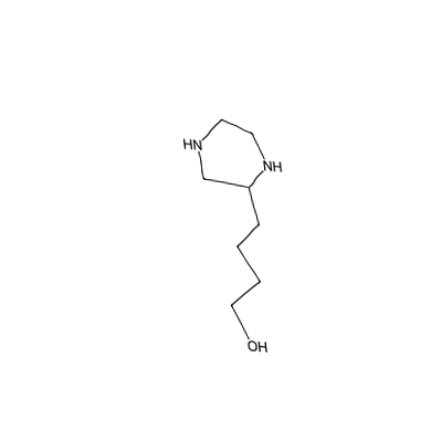 OCCCCC1CNCCN1